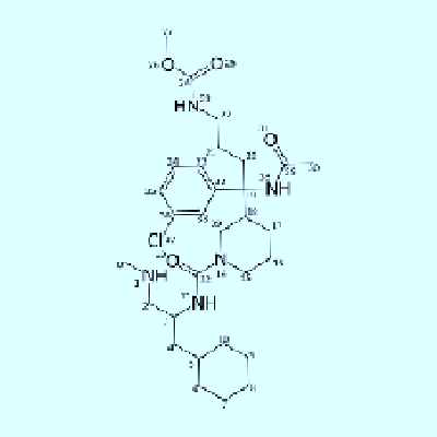 CNCC(CC1CCCCC1)NC(=O)N1CCCC(C(CCCNC(=O)OC)(NC(C)=O)c2cccc(Cl)c2)C1